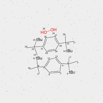 CC(C)(C)C(C)(C)c1ccc(C(C)(C)C(C)(C)C)cc1.CC(C)(C)C(C)(C)c1ccc(C(C)(C)C(C)(C)C)cc1.OO